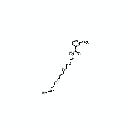 CCC(C)NCCCOCCOCCOCCNC(=O)c1cccc(OCC(C)C)c1